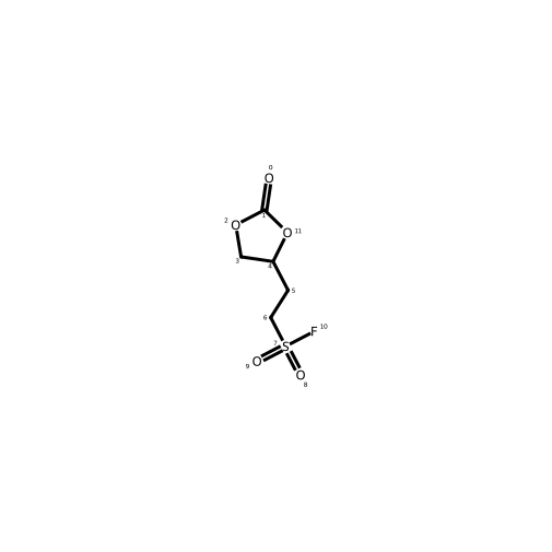 O=C1OCC(CCS(=O)(=O)F)O1